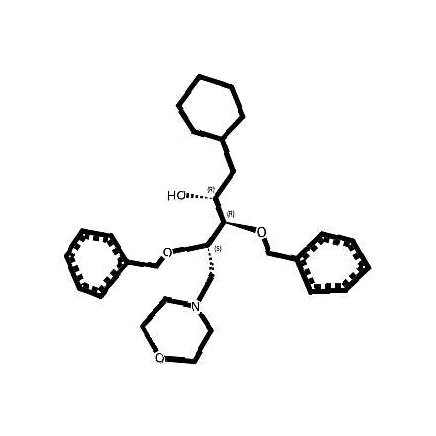 O[C@H](CC1CCCCC1)[C@@H](OCc1ccccc1)[C@H](CN1CCOCC1)OCc1ccccc1